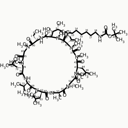 CC[C@@H]1NC(=O)C([C@H](O)[C@H](C)CCCCCCCCNC(=O)OC(C)(C)C)N(C)C(=O)[C@H](C(C)C)N(C)C(=O)N(C)C(=O)[C@@H](CC(C)C)N(C)C(=O)[C@H](C)NC(=O)[C@@H](C)NC(=O)[C@@H](CC(C)C)N(C)C(=O)[C@@H](C(C)C)NC(=O)[C@H](CC(C)C)N(C)C(=O)CN(C)C1=O